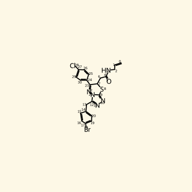 C=CCNC(=O)CC1Sc2nnc(Cc3ccc(Br)cc3)n2N=C1c1ccc(Cl)cc1